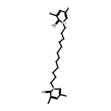 Cc1cc(C)c(=N)n(CCCCCCCCCCCCn2cc(C)cc(C)c2=N)c1